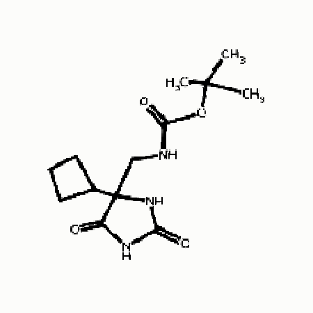 CC(C)(C)OC(=O)NCC1(C2CCC2)NC(=O)NC1=O